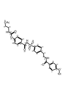 CCOc1ccc(C(=O)NCCc2ccc(S(=O)(=O)NC(=O)c3ccc(OC(=O)NCCOC(C)=O)nc3)cc2)cc1